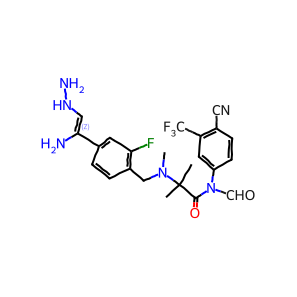 CN(Cc1ccc(/C(N)=C/NN)cc1F)C(C)(C)C(=O)N(C=O)c1ccc(C#N)c(C(F)(F)F)c1